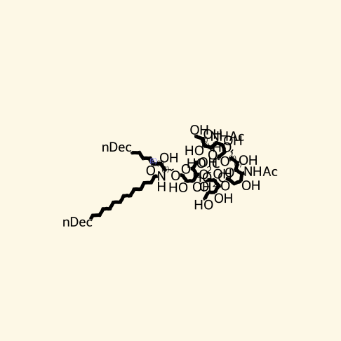 CCCCCCCCCCCCC/C=C/[C@@H](O)[C@H](COC1OC(CO)C(OC2OC(CO)C(O)C(OC3(C(=O)O)CC(O)C(NC(C)=O)C([C@H](O)[C@@H](CO)OC4(C(=O)O)CC(O)C(NC(C)=O)C([C@H](O)[C@H](O)CO)O4)O3)C2O)C(O)C1O)NC(=O)CCCCCCCCCCCCCCCCCCCCCC